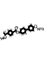 CCCCCCOc1ccc(-c2ccc(OC(=O)c3ccc(C(C)OCCC)cc3)cc2)cc1